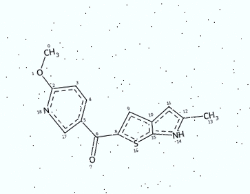 COc1ccc(C(=O)c2cc3cc(C)[nH]c3s2)cn1